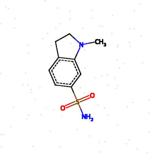 CN1CCc2ccc(S(N)(=O)=O)cc21